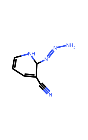 N#CC1=CC=CNC1N=NN